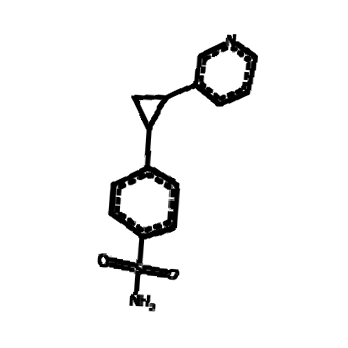 NS(=O)(=O)c1ccc(C2CC2c2cccnc2)cc1